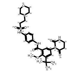 COc1c(C(=O)Nc2ccc(NS(=O)(=O)CCN3CCOCC3)cc2)cc(N2C(=O)CCNC2=O)cc1C(C)(C)C